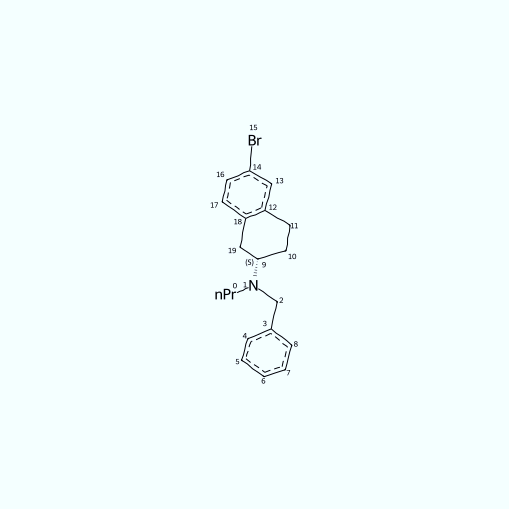 CCCN(Cc1ccccc1)[C@H]1CCc2cc(Br)ccc2C1